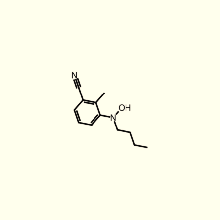 CCCCN(O)c1cccc(C#N)c1C